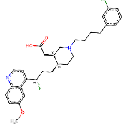 COc1ccc2nccc([C@@H](F)CC[C@@H]3CCN(CCCCc4cccc(Cl)c4)C[C@@H]3CC(=O)O)c2c1